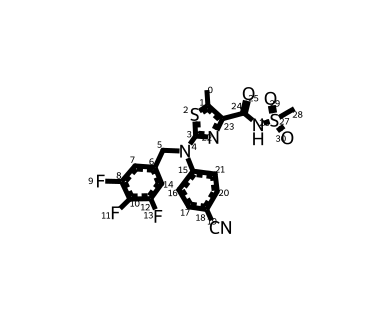 Cc1sc(N(Cc2cc(F)c(F)c(F)c2)c2ccc(C#N)cc2)nc1C(=O)NS(C)(=O)=O